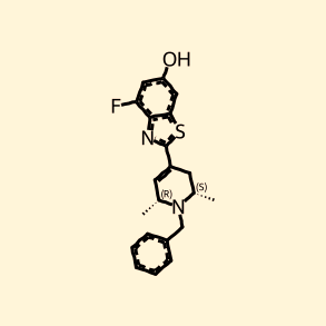 C[C@@H]1C=C(c2nc3c(F)cc(O)cc3s2)C[C@H](C)N1Cc1ccccc1